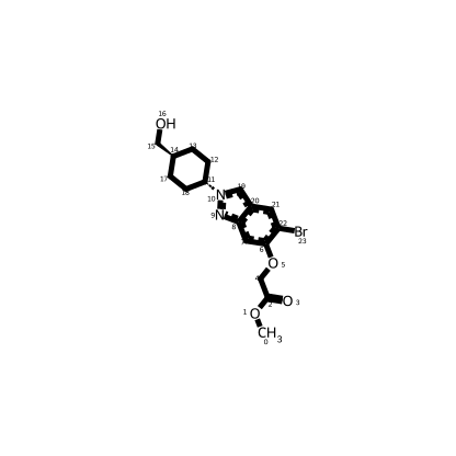 COC(=O)COc1cc2nn([C@H]3CC[C@H](CO)CC3)cc2cc1Br